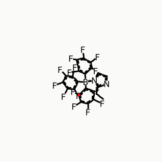 CCc1nccn1[B-](c1c(F)c(F)c(F)c(F)c1F)(c1c(F)c(F)c(F)c(F)c1F)c1c(F)c(F)c(F)c(F)c1F